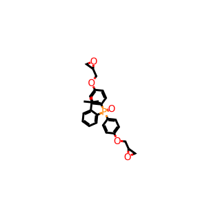 CC(C)(C)c1ccccc1P(=O)(c1ccc(OCC2CO2)cc1)c1ccc(OCC2CO2)cc1